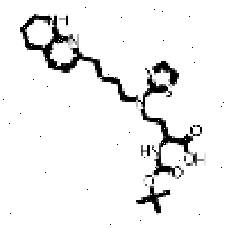 CC(C)(C)OC(=O)NC(CCN(CCCCc1ccc2c(n1)NCCC2)c1nccs1)C(=O)O